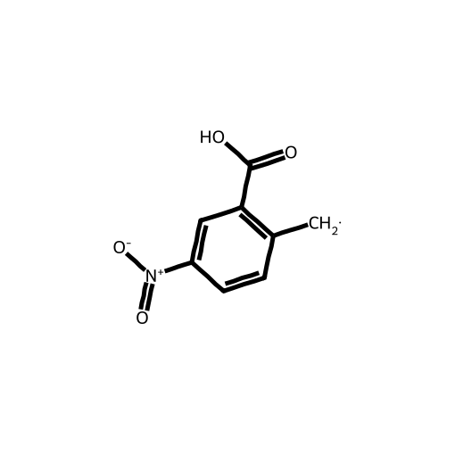 [CH2]c1ccc([N+](=O)[O-])cc1C(=O)O